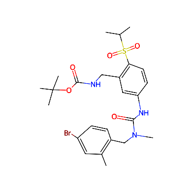 Cc1cc(Br)ccc1CN(C)C(=O)Nc1ccc(S(=O)(=O)C(C)C)c(CNC(=O)OC(C)(C)C)c1